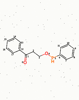 O=C(CCOPc1ccccc1)c1ccccc1